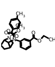 CCOC(=O)c1cccc(N(C(=O)OC)C2C3CCC2N(S(=O)(=O)c2ccc(C)cc2)C3)c1